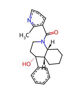 Cc1ncccc1C(=O)N1CC[C@](O)(c2ccccc2)[C@H]2CCCC[C@H]21